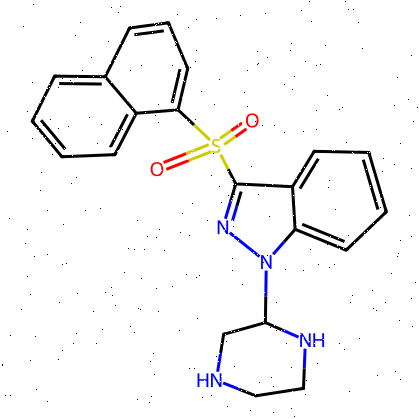 O=S(=O)(c1cccc2ccccc12)c1nn(C2CNCCN2)c2ccccc12